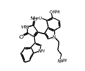 CNCCCn1cc(C2=C(c3c[nH]c4ccccc34)C(=O)NC2=O)c2c(OC)c(OC)ccc21